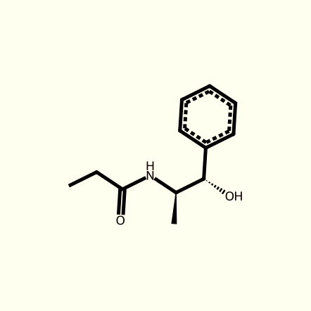 CCC(=O)N[C@H](C)[C@@H](O)c1ccccc1